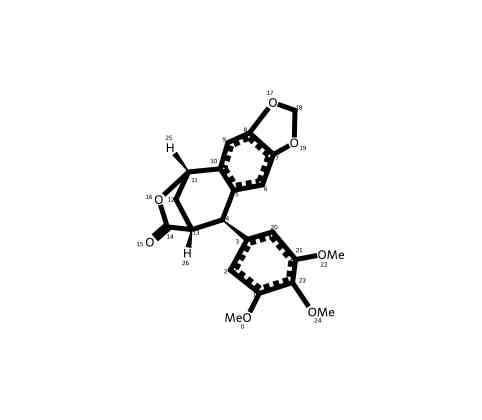 COc1cc([C@@H]2c3cc4c(cc3[C@@H]3C[C@H]2C(=O)O3)OCO4)cc(OC)c1OC